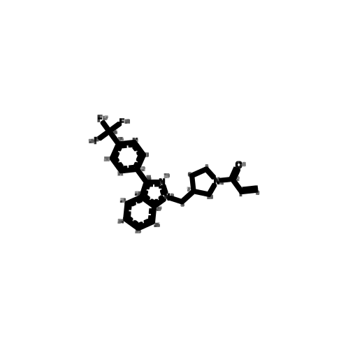 C=CC(=O)N1CCC(Cn2nc(-c3ccc(C(F)(F)F)cc3)c3ccccc32)C1